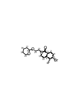 O=c1c2ccc(Br)c(F)c2ccn1CCOC1CCCCO1